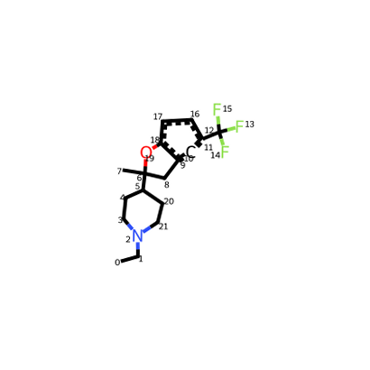 CCN1CCC(C2(C)Cc3cc(C(F)(F)F)ccc3O2)CC1